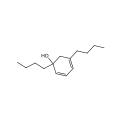 CCCCC1=CC=CC(O)(CCCC)C1